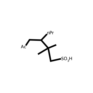 CCCC(CC(C)=O)C(C)(C)CS(=O)(=O)O